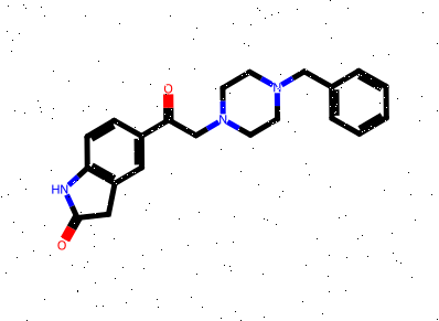 O=C1Cc2cc(C(=O)CN3CCN(Cc4ccccc4)CC3)ccc2N1